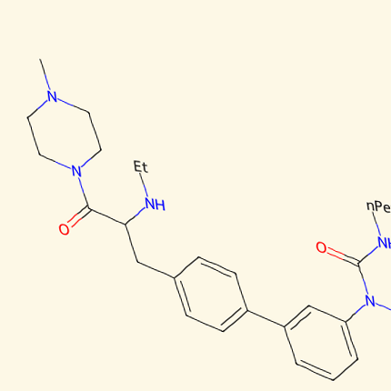 CCCCCNC(=O)N(C)c1cccc(-c2ccc(CC(NCC)C(=O)N3CCN(C)CC3)cc2)c1